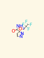 NC(=O)C1(OCC(F)(F)C(F)F)C=CN=N1